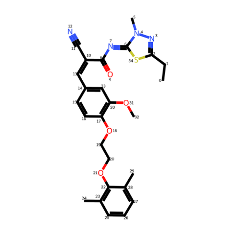 CCc1nn(C)c(=NC(=O)C(C#N)=Cc2ccc(OCCOc3c(C)cccc3C)c(OC)c2)s1